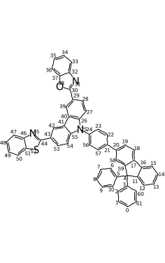 c1ccc(C2(c3ccccc3)c3ccccc3-c3ccc(-c4ccc(-n5c6ccc(-c7nc8ccccc8o7)cc6c6cc(-c7nc8ccccc8s7)ccc65)cc4)cc32)cc1